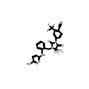 CC1(C)C(=O)N(c2ccc(C#N)c(C(F)(F)F)c2)C(=O)N1Cc1ccccc1Nc1ccc(O)nn1